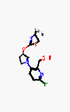 OCc1nc(Br)ccc1N1CCC(Oc2nc(C(F)(F)F)cs2)C1